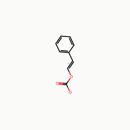 [O]C(=O)O/C=C/c1ccccc1